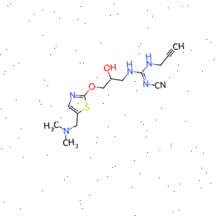 C#CCNC(=NC#N)NCC(O)COc1ncc(CN(C)C)s1